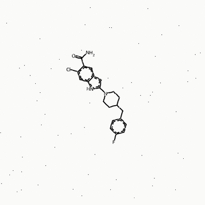 NC(=O)c1cc2cc(N3CCC(Cc4ccc(F)cc4)CC3)[nH]c2cc1Cl